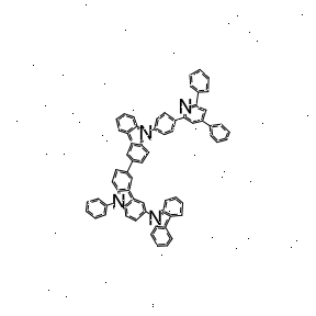 c1ccc(-c2cc(-c3ccccc3)nc(-c3ccc(-n4c5ccccc5c5cc(-c6ccc7c(c6)c6cc(-n8c9ccccc9c9ccccc98)ccc6n7-c6ccccc6)ccc54)cc3)c2)cc1